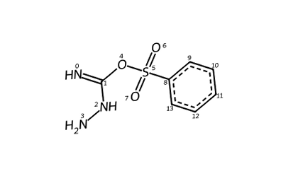 N=C(NN)OS(=O)(=O)c1ccccc1